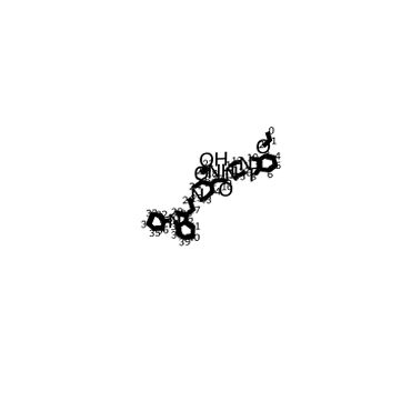 CCOc1cccc(F)c1CN1CCN(C(=O)C(NC(=O)O)C2CCN(CCc3cn(-c4ccccc4)c4ccccc34)CC2)CC1